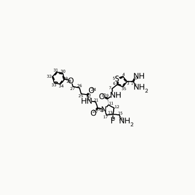 N=C(N)c1csc(CNC(=O)[C@@H]2C[C@](F)(CN)CN2C(=O)CNC(=O)CCCOc2ccccc2)c1